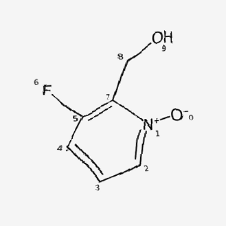 [O-][n+]1cc[c]c(F)c1CO